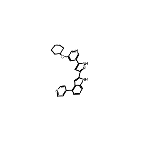 c1cc(-c2ccncc2)c2cc(-c3cc(-c4cncc(OC5CCCCC5)c4)[nH]n3)[nH]c2c1